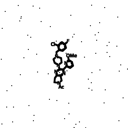 COc1cccc(-c2nc3c(nc2N2CCN(Cc4ccc(F)cc4Cl)CC2)CCN(C(C)=O)C3)n1